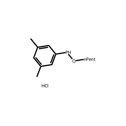 CCCCCOPc1cc(C)cc(C)c1.Cl